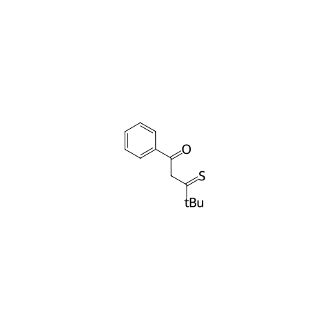 CC(C)(C)C(=S)CC(=O)c1ccccc1